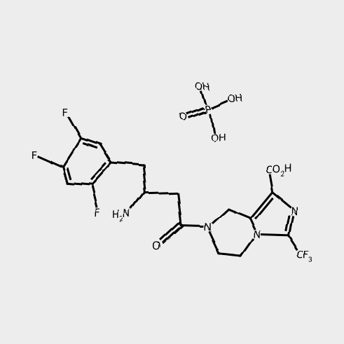 NC(CC(=O)N1CCn2c(C(F)(F)F)nc(C(=O)O)c2C1)Cc1cc(F)c(F)cc1F.O=P(O)(O)O